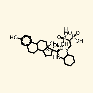 C[C@]12CCC3c4ccc(O)cc4CCC3C1CC[C@]2(O)C(=O)NC1CCCCC1SCC(P(=O)(O)O)P(=O)(O)O